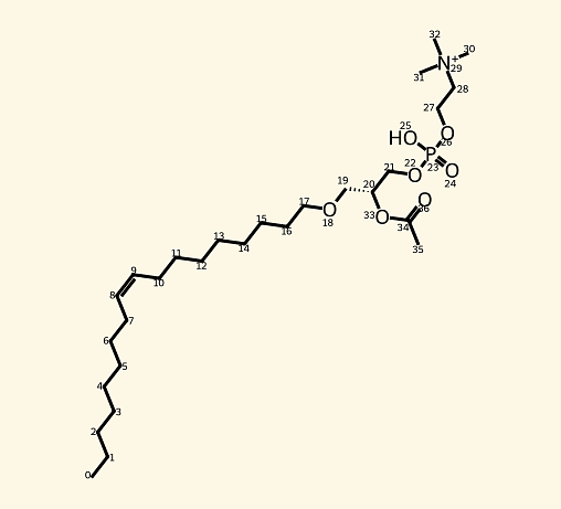 CCCCCCCC/C=C\CCCCCCCCOC[C@H](COP(=O)(O)OCC[N+](C)(C)C)OC(C)=O